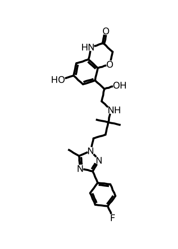 Cc1nc(-c2ccc(F)cc2)nn1CCC(C)(C)NCC(O)c1cc(O)cc2c1OCC(=O)N2